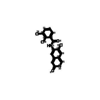 O=C1C=c2cc(NC(=O)c3cccc(Cl)c3Cl)c(Cl)cc2=C[N]1